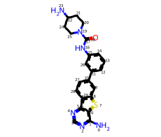 Nc1ncnc2c1sc1cc(-c3cccc(NC(=O)N4CCC(N)CC4)c3)ccc12